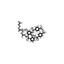 CC(C)=CCC/C(C)=C/CC/C(C)=C/CN1C(=O)c2cccc(OC(=O)c3ccc(N(C)C)cc3)c2Nc2c(OC(=O)c3ccc(N(C)C)cc3)cc(O)cc21